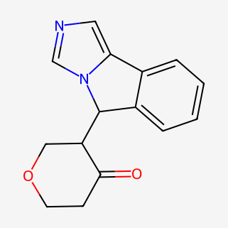 O=C1CCOCC1C1c2ccccc2-c2cncn21